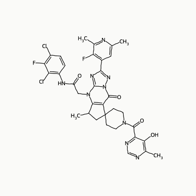 Cc1cc(-c2nc3n(CC(=O)Nc4ccc(Cl)c(F)c4Cl)c4c(c(=O)n3n2)C2(CCN(C(=O)c3ncnc(C)c3O)CC2)CC4C)c(F)c(C)n1